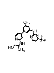 Cc1cc(Nc2nccc(C(F)(F)F)n2)cc(-c2ccnc(N[C@@H](C)CO)c2)c1